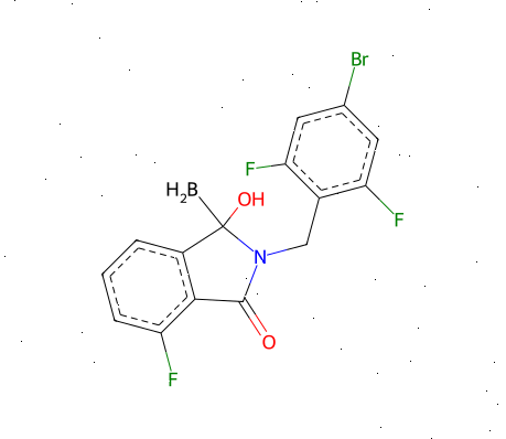 BC1(O)c2cccc(F)c2C(=O)N1Cc1c(F)cc(Br)cc1F